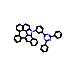 c1ccc(-c2nc(-c3ccccc3)nc(-c3cccc(-n4c5ccc6cccc7c6c5c5c(cc6ccccc6c54)-c4ccccc4-7)c3)n2)cc1